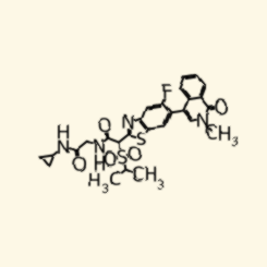 CC(C)S(=O)(=O)C(C(=O)NCC(=O)NC1CC1)c1nc2cc(F)c(-c3cn(C)c(=O)c4ccccc34)cc2s1